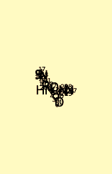 COc1ccc(C(=O)Nc2ccc(-c3csc(C)n3)cc2)c(CN2CCN(C)CC2)c1